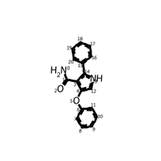 NC(=O)c1c(Oc2ccccc2)c[nH]c1-c1ccccc1